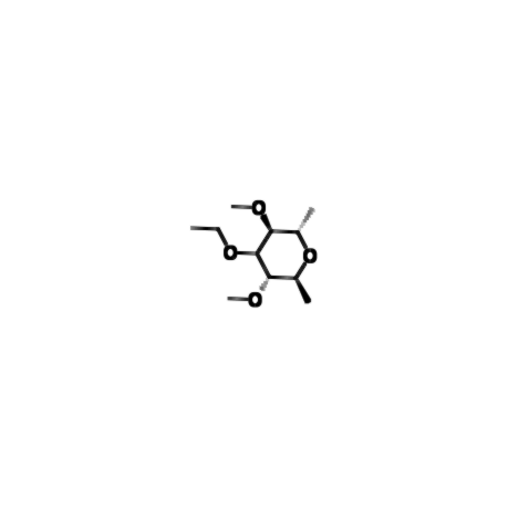 CCOC1[C@@H](OC)[C@H](C)O[C@@H](C)[C@@H]1OC